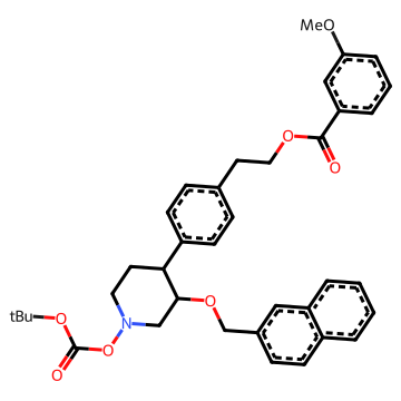 COc1cccc(C(=O)OCCc2ccc(C3CCN(OC(=O)OC(C)(C)C)CC3OCc3ccc4ccccc4c3)cc2)c1